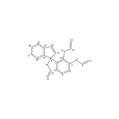 C=CCc1cccc(C2(CC=C)C=Cc3ccccc32)c1CC=C